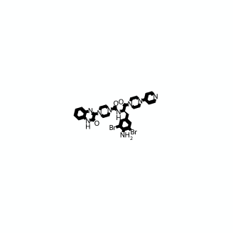 Nc1c(Br)cc(C[C@@H](NC(=O)N2CCN(c3nc4ccccc4[nH]c3=O)CC2)C(=O)N2CCN(c3ccncc3)CC2)cc1Br